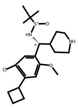 COc1cc(C2CCC2)c(Cl)cc1[C@H](N[S+]([O-])C(C)(C)C)C1CCNCC1